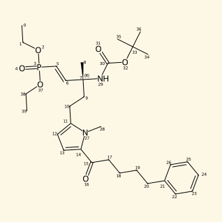 CCOP(=O)(C=C[C@@](C)(CCc1ccc(C(=O)CCCCc2ccccc2)n1C)NC(=O)OC(C)(C)C)OCC